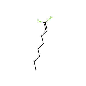 CCCCC[CH]C=C(F)F